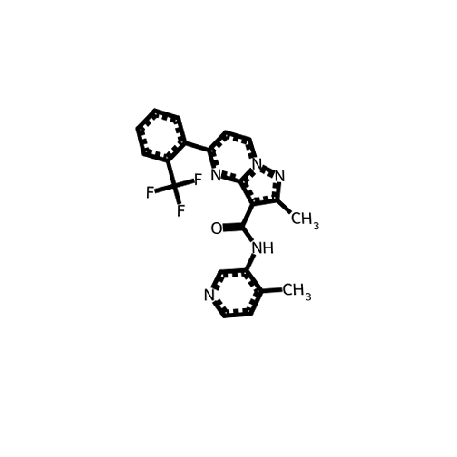 Cc1ccncc1NC(=O)c1c(C)nn2ccc(-c3ccccc3C(F)(F)F)nc12